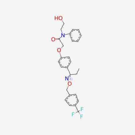 CC/C(=N\OCc1ccc(C(F)(F)F)cc1)c1ccc(OCC(=O)N(CCO)c2ccccc2)cc1